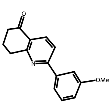 COc1cccc(-c2ccc3c(n2)CCCC3=O)c1